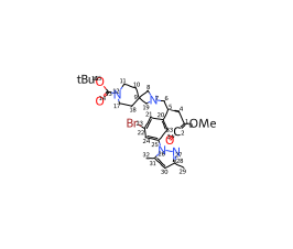 COC(=C=O)C[C@H](CN1CC2(CCN(C(=O)OC(C)(C)C)CC2)C1)c1cc(Br)cc(-n2nc(C)cc2C)c1